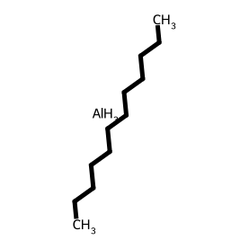 CCCCCCCCCCCC.[AlH3]